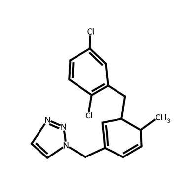 CC1C=CC(Cn2ccnn2)=CC1Cc1cc(Cl)ccc1Cl